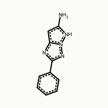 Nc1cc2nc(-c3ccccc3)nn2[nH]1